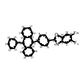 Fc1cc2nc(-c3ccc(-c4c5ccccc5c(-c5ccccc5)c5ccccc45)cc3)oc2cc1F